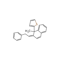 CC1(c2cccs2)C(=CCc2ccccc2)C=Cc2ccccc21